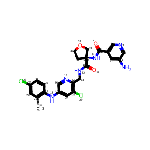 Nc1cncc(C(=O)N[C@@]2(C(=O)NCc3ncc(Nc4ccc(Cl)cc4C(F)(F)F)cc3Cl)CCOC2)c1